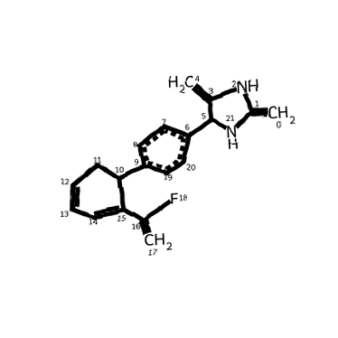 C=C1NC(=C)C(c2ccc(C3CC=CC=C3C(=C)F)cc2)N1